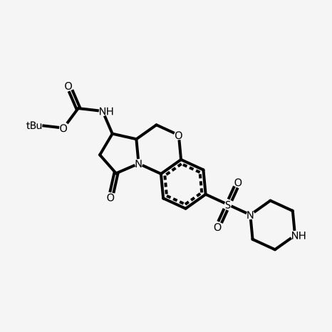 CC(C)(C)OC(=O)NC1CC(=O)N2c3ccc(S(=O)(=O)N4CCNCC4)cc3OCC12